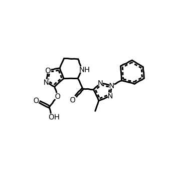 Cc1nn(-c2ccccc2)nc1C(=O)C1NCCc2onc(OC(=O)O)c21